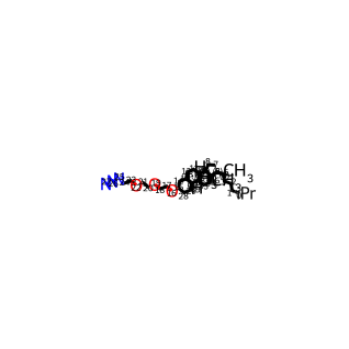 CC(C)CCC[C@@H](C)[C@H]1CC[C@H]2[C@@H]3CC=C4CC(OCCOCCOCCN=[N+]=[N-])CC[C@]4(C)[C@H]3CC[C@]12C